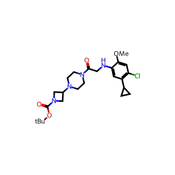 COc1cc(Cl)c(C2CC2)cc1NCC(=O)N1CCN(C2CN(C(=O)OC(C)(C)C)C2)CC1